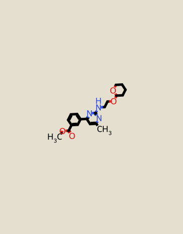 COC(=O)c1cccc(-c2cc(C)nc(NCCOC3CCCCO3)n2)c1